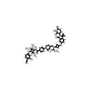 CC(C)N(CC1CCN(c2cnc(C(=O)NC3C(C)(C)C(Oc4ccc(C#N)c(Cl)c4)C3(C)C)cn2)CC1)C1CC(Oc2ccc3c(c2)C(=O)N([C@@H]2CCC(=O)NC2=O)C32CC2)C1